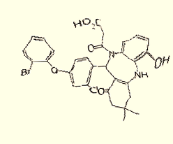 CC1(C)CC(=O)C2=C(C1)Nc1c(O)cccc1N(C(=O)CC(=O)O)C2c1ccc(Oc2ccccc2Br)cc1Cl